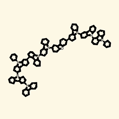 c1ccc(-n2c3ccc(-n4c5ccccc5c5cc(-n6c7ccccc7c7ccccc76)ccc54)cc3c3ccc(-c4cccc5c4c4ccccc4n5-c4ccc5c(c4)c4ccccc4n5-c4ccc5oc6cc(-c7ccc8c(c7)c7ccccc7n8-c7ccc8c(c7)c7ccccc7n8-c7cccc8c7c7ccccc7n8-c7ccccc7)ccc6c5c4)cc32)cc1